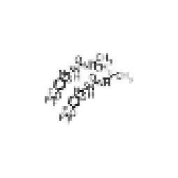 CC(C)CNC(=O)NSc1nc2ccc(OC(F)(F)F)cc2s1.CCCCNC(=O)NSc1nc2ccc(OC(F)(F)F)cc2s1